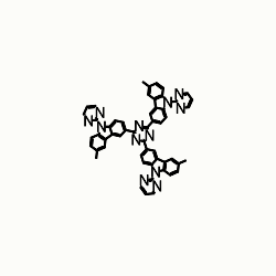 Cc1ccc2c(c1)c1cc(-c3nc(-c4ccc5c(c4)c4cc(C)ccc4n5-c4ncccn4)nc(-c4ccc5c(c4)c4cc(C)ccc4n5-c4ncccn4)n3)ccc1n2-c1ncccn1